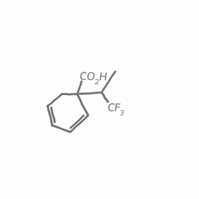 CC(C(F)(F)F)C1(C(=O)O)C=CC=CC1